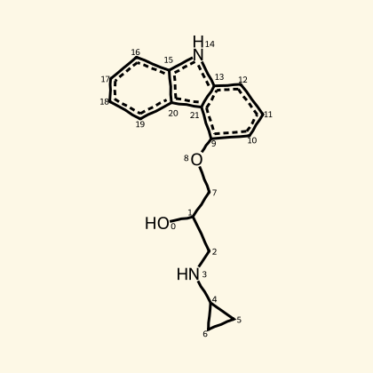 OC(CNC1CC1)COc1cccc2[nH]c3ccccc3c12